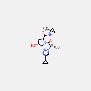 CC(C)(C)[C@@H](C(=O)N1CC(O)CC1C(=O)NC1(C(F)(F)F)CC1)n1cc(C2CC2)nn1